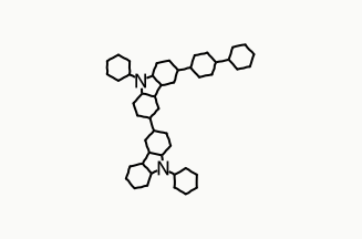 C1CCC(C2CCC(C3CCC4C(C3)C3CC(C5CCC6C(C5)C5CCCCC5N6C5CCCCC5)CCC3N4C3CCCCC3)CC2)CC1